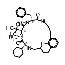 CN1C(=O)[C@H](C2CCCCC2)NCC2CCc3cccc(c3O2)CCCNC(=O)[C@@H](Cc2ccccc2)NC(=O)[C@@H]1C(C)(C)O